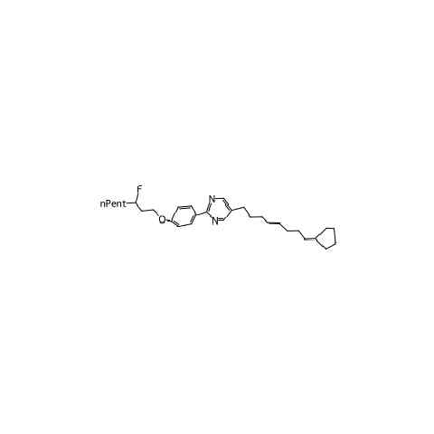 CCCCCC(F)CCOc1ccc(-c2ncc(CCCCCCCCC3CCCC3)cn2)cc1